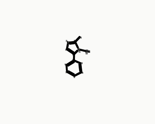 Cc1ncc(-c2ccccc2)n1C(C)(C)C